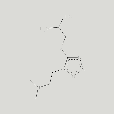 CN(C)CCn1nnnc1SCC(N)C=O